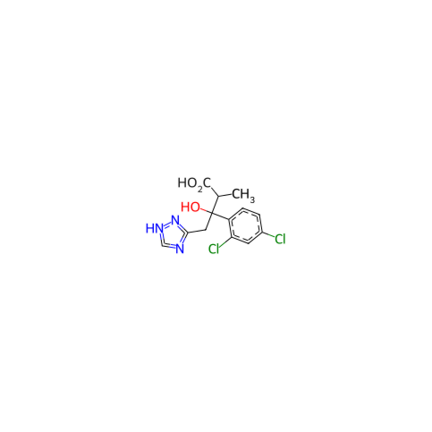 CC(C(=O)O)C(O)(Cc1nc[nH]n1)c1ccc(Cl)cc1Cl